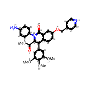 COC(=O)c1c(-c2cc(OC)c(OC)c(OC)c2)c2ccc(OCc3ccncc3)cc2c(=O)n1-c1ccc(N)cc1